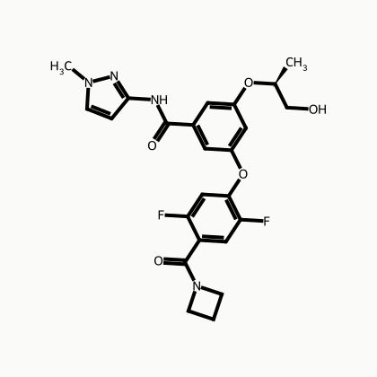 C[C@@H](CO)Oc1cc(Oc2cc(F)c(C(=O)N3CCC3)cc2F)cc(C(=O)Nc2ccn(C)n2)c1